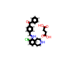 O=C(O)CCC(=O)O.O=C(c1ccccc1)c1ccc(CNc2c(Cl)ccc3c2CCNCC3)cc1